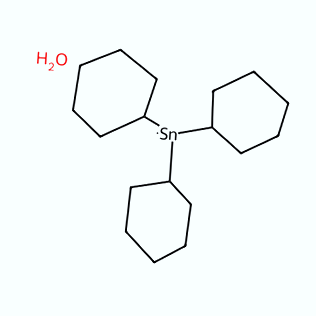 C1CC[CH]([Sn]([CH]2CCCCC2)[CH]2CCCCC2)CC1.O